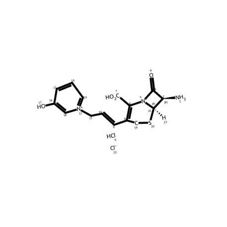 Cl.N[C@@H]1C(=O)N2C(C(=O)O)=C(C=CC[n+]3cccc(O)c3)CS[C@H]12.[Cl-]